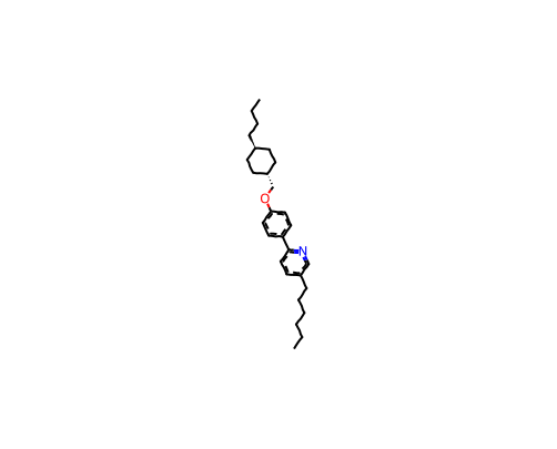 CCCCCCc1ccc(-c2ccc(OC[C@H]3CC[C@H](CCCC)CC3)cc2)nc1